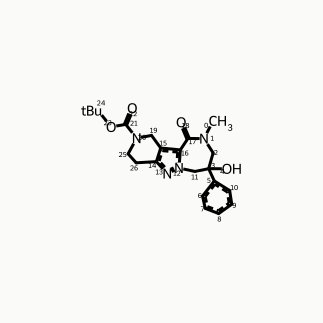 CN1CC(O)(c2ccccc2)Cn2nc3c(c2C1=O)CN(C(=O)OC(C)(C)C)CC3